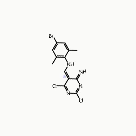 Cc1cc(Br)cc(C)c1N/C=C1\C(=N)N=C(Cl)N=C1Cl